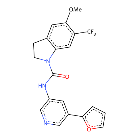 COc1cc2c(cc1C(F)(F)F)N(C(=O)Nc1cncc(-c3ccco3)c1)CC2